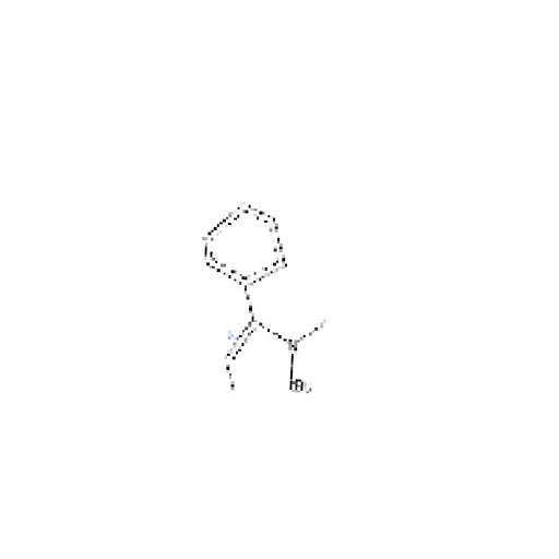 C/C=C(/c1ccccc1)N(C)C(C)(C)C